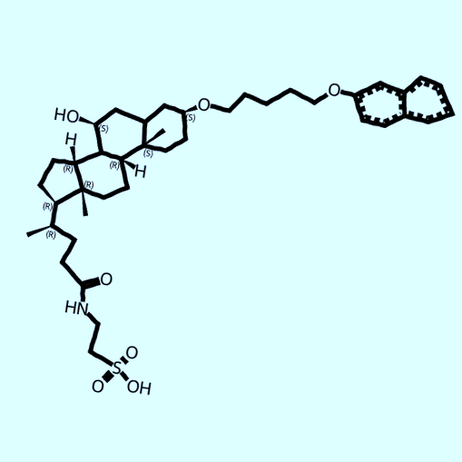 C[C@H](CCC(=O)NCCS(=O)(=O)O)[C@H]1CC[C@@H]2C3[C@@H](CC[C@@]21C)[C@@]1(C)CC[C@H](OCCCCCOc2ccc4ccccc4c2)CC1C[C@@H]3O